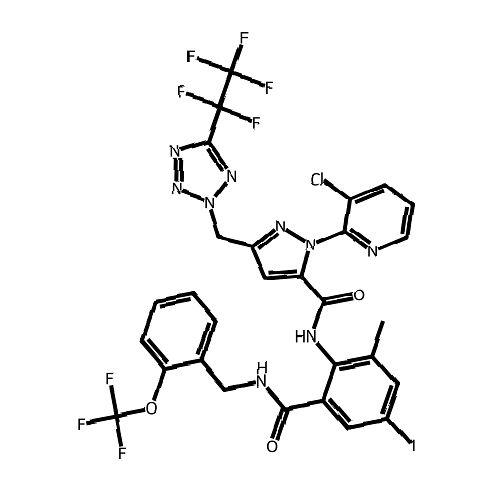 Cc1cc(I)cc(C(=O)NCc2ccccc2OC(F)(F)F)c1NC(=O)c1cc(Cn2nnc(C(F)(F)C(F)(F)F)n2)nn1-c1ncccc1Cl